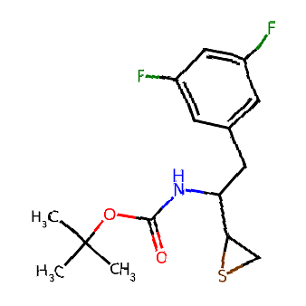 CC(C)(C)OC(=O)NC(Cc1cc(F)cc(F)c1)C1CS1